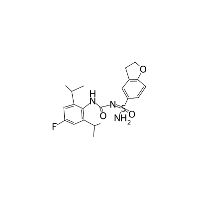 CC(C)c1cc(F)cc(C(C)C)c1NC(=O)N=S(N)(=O)c1ccc2c(c1)CCO2